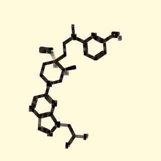 C[C@H]1CN(c2cnc3cnn(CC(F)F)c3n2)CC[C@@]1(C=O)CCN(C)c1cccc(C(F)(F)F)n1